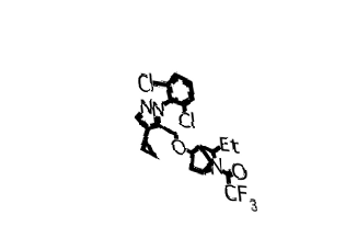 CCC1C2CC(CC2OCc2c(C3CC3)cnn2-c2c(Cl)cccc2Cl)N1C(=O)C(F)(F)F